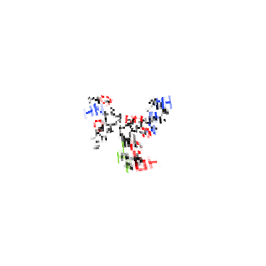 CC(=O)Nc1ccc(-c2cccc(-c3cc(N4CCNCC4)no3)c2O)cc1OC1CCC1.O=C(O)C(F)(F)F